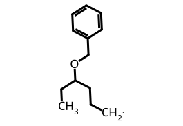 [CH2]CCC(CC)OCc1ccccc1